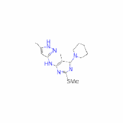 CSc1nc(Nc2cc(C)[nH]n2)c(C)c(N2CCCCC2)n1